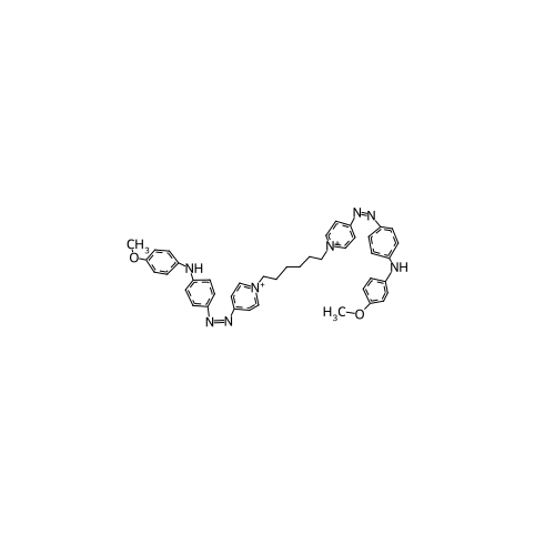 COc1ccc(Nc2ccc(/N=N\c3cc[n+](CCCCCC[n+]4ccc(/N=N\c5ccc(Nc6ccc(OC)cc6)cc5)cc4)cc3)cc2)cc1